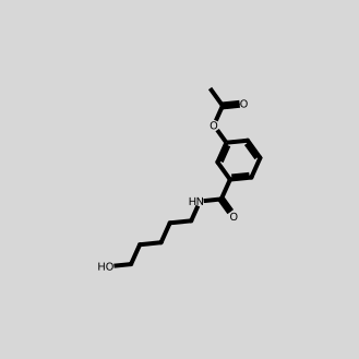 CC(=O)Oc1cccc(C(=O)NCCCCCO)c1